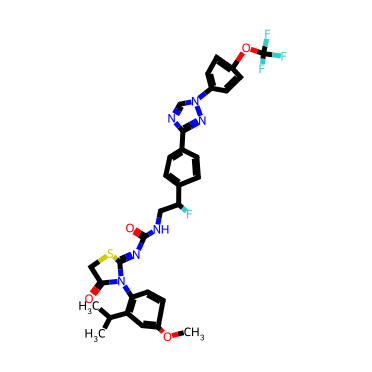 COc1ccc(N2C(=O)CS/C2=N\C(=O)NCC(F)c2ccc(-c3ncn(-c4ccc(OC(F)(F)F)cc4)n3)cc2)c(C(C)C)c1